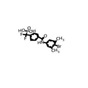 Cc1cc(NC(=O)c2ccc(C(F)(F)P(=O)(O)O)cc2)cc(C)c1Br